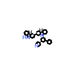 C1=CCCC(C2=CC(N3C4CCCCC4[C@@H]4CC[C@H]([C@H]5C=CC6NC7C=CCC[C@H]7[C@H]6C5)CC43)C[C@H](C3C=CN=CC3)C2)=C1